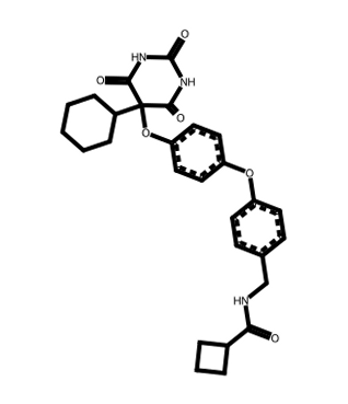 O=C1NC(=O)C(Oc2ccc(Oc3ccc(CNC(=O)C4CCC4)cc3)cc2)(C2CCCCC2)C(=O)N1